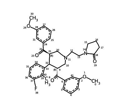 COc1cccc(C(=O)[C@H]2CN(CCN3CCCC3=O)C[C@H](C(=O)c3cccc(OC)c3)C2c2cccc(F)c2C)c1